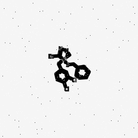 CCC1=NN=C[N+]1(Cc1ccc(Cl)c(Cl)c1)SCc1ccccc1